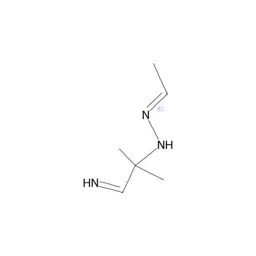 C/C=N/NC(C)(C)C=N